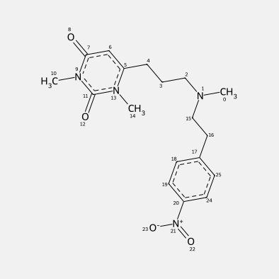 CN(CCCc1cc(=O)n(C)c(=O)n1C)CCc1ccc([N+](=O)[O-])cc1